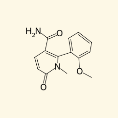 COc1ccccc1-c1c(C(N)=O)ccc(=O)n1C